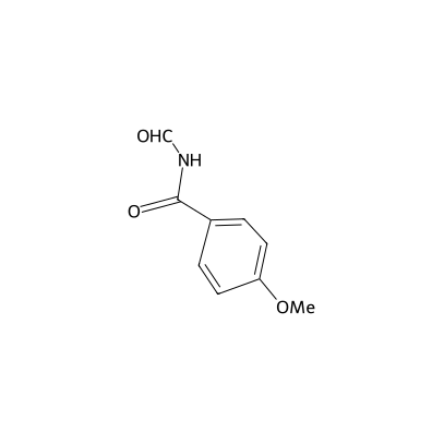 COc1ccc(C(=O)NC=O)cc1